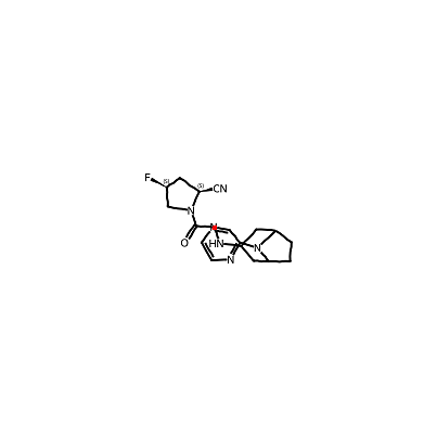 N#C[C@@H]1C[C@H](F)CN1C(=O)CNC1CC2CCC(C1)N2c1cnccn1